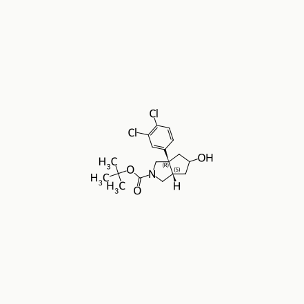 CC(C)(C)OC(=O)N1C[C@H]2CC(O)C[C@@]2(c2ccc(Cl)c(Cl)c2)C1